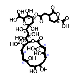 O=C(CC1CC[C@@H](C(=O)O)OC1=O)O[C@@H]1C[C@](O)([C@@H](O)[C@H](O)[C@H](O)C2OC(=O)/C(OO)=C/C(O)=C/C[C@@H](O)C(O)C/C(O)=C/C=C/[C@@H]2OO)OC(C(O)O)[C@H]1O